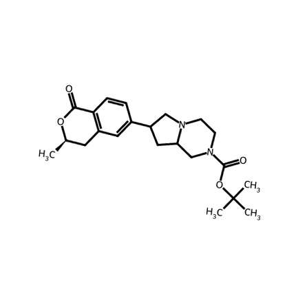 C[C@@H]1Cc2cc(C3CC4CN(C(=O)OC(C)(C)C)CCN4C3)ccc2C(=O)O1